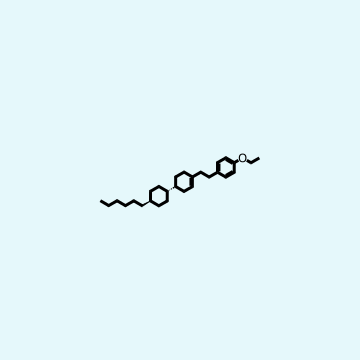 CCCCCC[C@H]1CC[C@H](C2CC=C(CCc3ccc(OCC)cc3)CC2)CC1